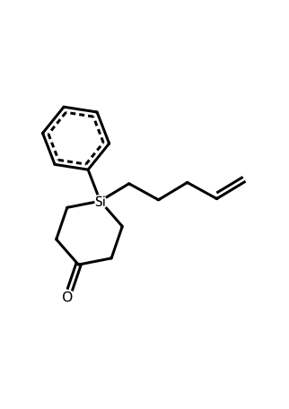 C=CCCC[Si]1(c2ccccc2)CCC(=O)CC1